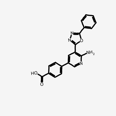 Nc1ncc(-c2ccc(C(=O)O)cc2)cc1-c1nnc(-c2ccccc2)o1